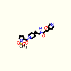 CS(=O)(=O)N1CCCC1C(=O)N1CCC2(CC1)CC2CNC(=O)c1cc2ccncc2o1